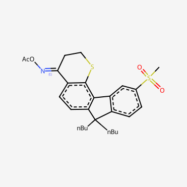 CCCCC1(CCCC)c2ccc(S(C)(=O)=O)cc2-c2c1ccc1c2SCC/C1=N\OC(C)=O